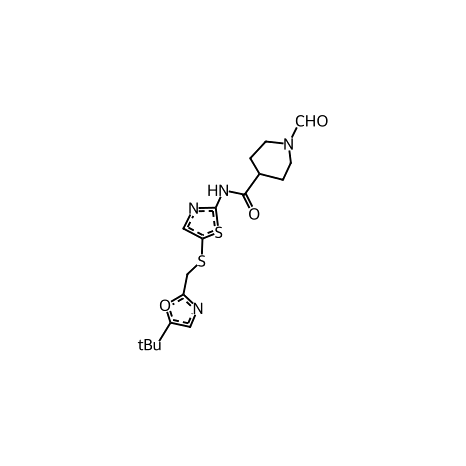 CC(C)(C)c1cnc(CSc2cnc(NC(=O)C3CCN(C=O)CC3)s2)o1